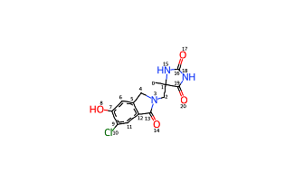 CC1(CN2Cc3cc(O)c(Cl)cc3C2=O)NC(=O)NC1=O